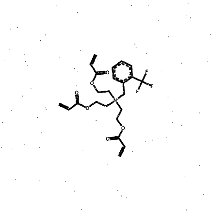 C=CC(=O)OCC[N+](CCOC(=O)C=C)(CCOC(=O)C=C)Cc1ccccc1C(F)(F)F